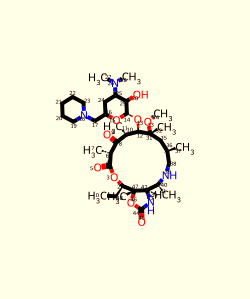 CC[C@H]1OC(=O)[C@H](C)C(=O)[C@H](C)[C@@H](O[C@@H]2OC(CN3CCCCC3)CC(N(C)C)C2O)[C@](C)(OC)C[C@@H](C)CN[C@H](C)[C@H]2NC(=O)O[C@@]21C